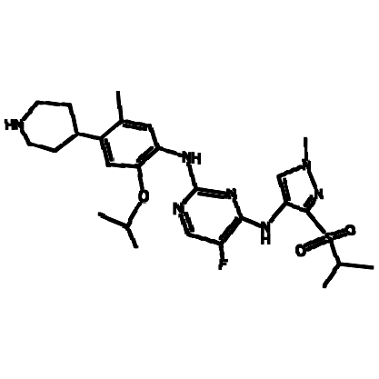 Cc1cc(Nc2ncc(F)c(Nc3cn(C)nc3S(=O)(=O)C(C)C)n2)c(OC(C)C)cc1C1CCNCC1